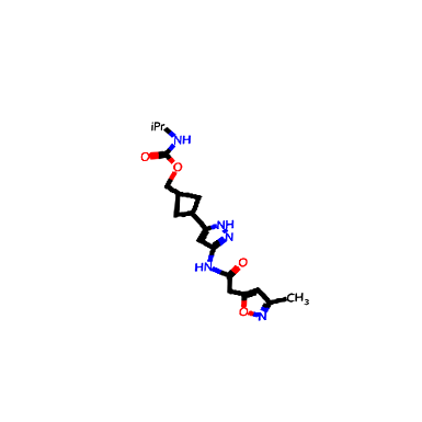 Cc1cc(CC(=O)Nc2cc(C3CC(COC(=O)NC(C)C)C3)[nH]n2)on1